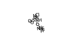 COC(=O)CSc1cnc(Cl)nc1NCc1ccc(-c2nc(C(F)(F)F)cn2C)cc1